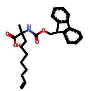 C=CCCCCCCC(C)(NC(=O)OCC1c2ccccc2-c2ccccc21)C(=O)O